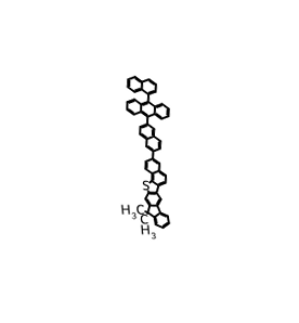 CC1(C)c2ccccc2-c2cc3c(cc21)sc1c2ccc(-c4ccc5cc(-c6c7ccccc7c(-c7cccc8ccccc78)c7ccccc67)ccc5c4)cc2ccc31